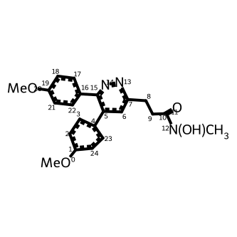 COc1ccc(-c2cc(CCC(=O)N(C)O)nnc2-c2ccc(OC)cc2)cc1